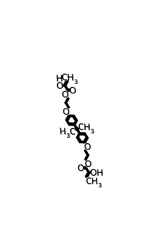 CC=C(O)C(=O)OCCCOc1ccc(C(C)(C)c2ccc(OCCCOC(=O)C(O)=CC)cc2)cc1